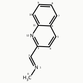 C/N=C/c1ccc2ccccc2n1